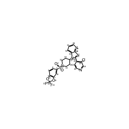 O=S(=O)(c1ccc2c(c1)OC(F)(F)O2)N1CCC(n2c(-c3ccncc3Cl)nc3ncccc32)CC1